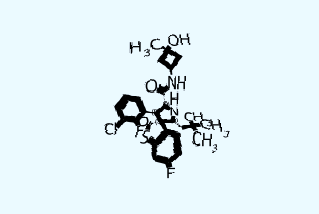 CC(C)(C)C[C@H]1N[C@@H](C(=O)N[C@H]2C[C@@](C)(O)C2)[C@H](c2cccc(Cl)c2F)[C@@]12C(=O)Sc1cc(F)ccc12